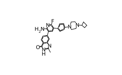 Cc1nc2cc(-c3cc(-c4ccc(N5CCN(C6CCC6)CC5)cc4)c(F)nc3N)ccc2c(=O)[nH]1